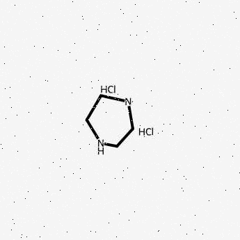 C1CNCC[N]1.Cl.Cl